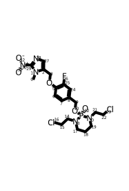 Cn1c(COc2ccc(COP3(=O)N(CCCl)CCCN3CCCl)cc2F)cnc1[N+](=O)[O-]